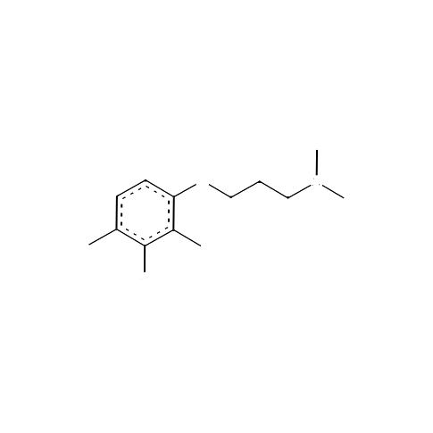 Cc1ccc(OCCCN(C)C)c(C)c1C=O